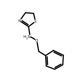 c1ccc(CO[SiH2]C2=NCCS2)cc1